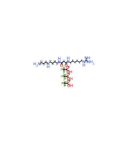 N=C(N)NCCCCCCNC(=O)CC(=O)NCCCCNCCCN.O=C(O)C(F)(F)F.O=C(O)C(F)(F)F.O=C(O)C(F)(F)F